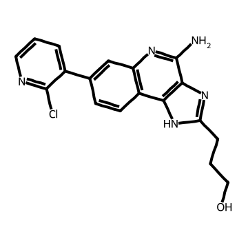 Nc1nc2cc(-c3cccnc3Cl)ccc2c2[nH]c(CCCO)nc12